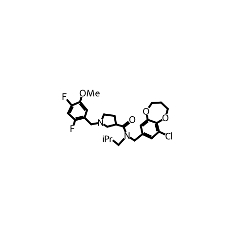 COc1cc(CN2CCC(C(=O)N(Cc3cc(Cl)c4c(c3)OCCCO4)CC(C)C)C2)c(F)cc1F